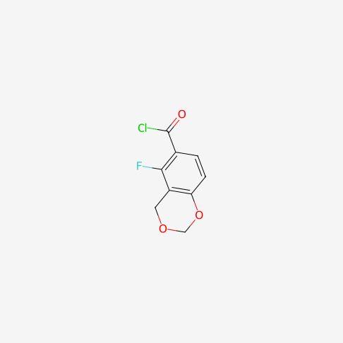 O=C(Cl)c1ccc2c(c1F)COCO2